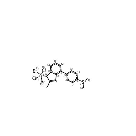 CC1=Cc2c(-c3ccc([S+](C)C)cc3)cccc2[CH]1[Zr]([Cl])([Cl])([Br])[Br]